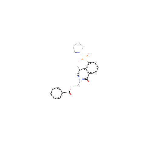 Cc1cn(COC(=O)c2ccccc2)c(=O)c2cccc(S(=O)(=O)N3CCCC3)c12